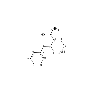 NC(=O)N1CCNCC1Cc1ccccc1